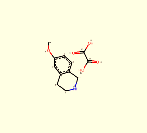 COc1ccc2c(c1)CCNC2.O=C(O)C(=O)O